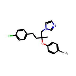 CC(CCc1ccc(Cl)cc1)(Cn1ccnc1)Oc1ccc([N+](=O)[O-])cc1